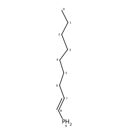 CCCCCCCC=CP